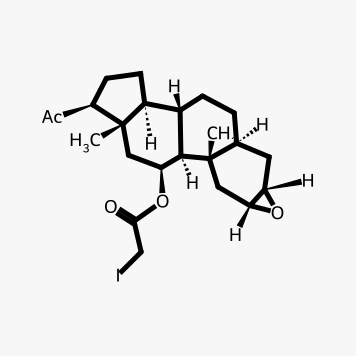 CC(=O)[C@H]1CC[C@H]2[C@@H]3CC[C@H]4C[C@@H]5O[C@@H]5C[C@]4(C)[C@H]3[C@@H](OC(=O)CI)C[C@]12C